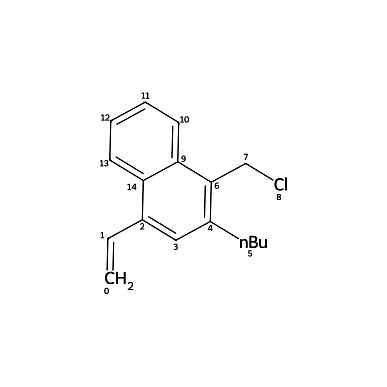 C=Cc1cc(CCCC)c(CCl)c2ccccc12